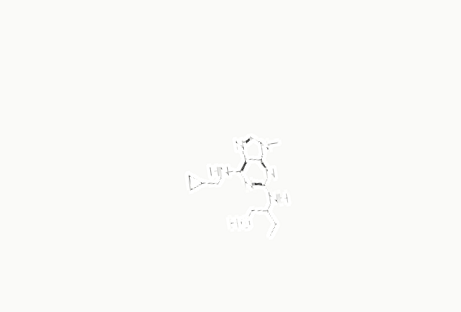 CCC(CO)Nc1nc(NCC2CC2)c2ncn(C)c2n1